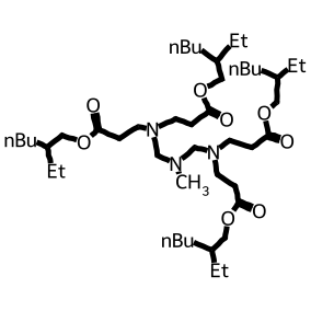 CCCCC(CC)COC(=O)CCN(CCC(=O)OCC(CC)CCCC)CN(C)CN(CCC(=O)OCC(CC)CCCC)CCC(=O)OCC(CC)CCCC